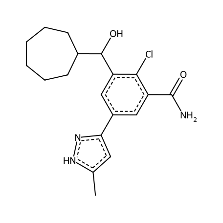 Cc1cc(-c2cc(C(N)=O)c(Cl)c(C(O)C3CCCCCC3)c2)n[nH]1